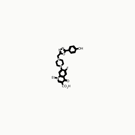 CCn1cc(C(=O)O)c(=O)c2cc(F)c(N3CCN(Cc4nnc(-c5ccc(O)cc5)o4)CC3)cc21